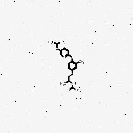 CC(=O)NC(C)COc1ccc(Oc2ccc(OC(C)C)cn2)c(C)c1